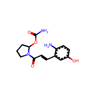 NC(=O)OC1CCCN1C(=O)C=Cc1cc(O)ccc1N